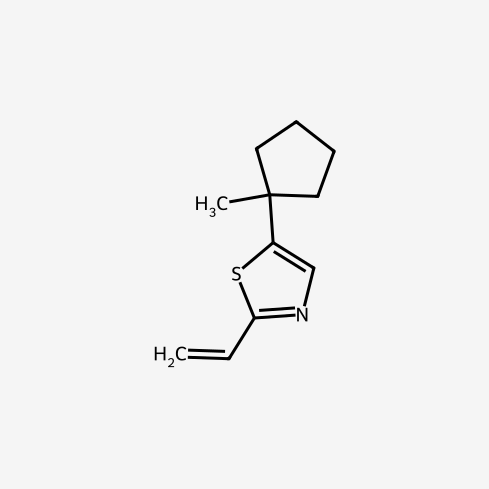 C=Cc1ncc(C2(C)CCCC2)s1